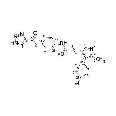 Cn1ncc(C=CC(=O)Nc2ccc(C[S+]([O-])c3c[nH]nn3)cc2)c1-c1ccc(F)cc1